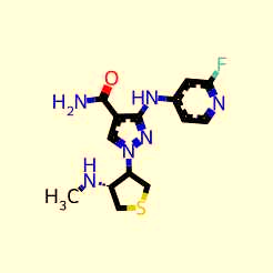 CN[C@H]1CSCC1n1cc(C(N)=O)c(Nc2ccnc(F)c2)n1